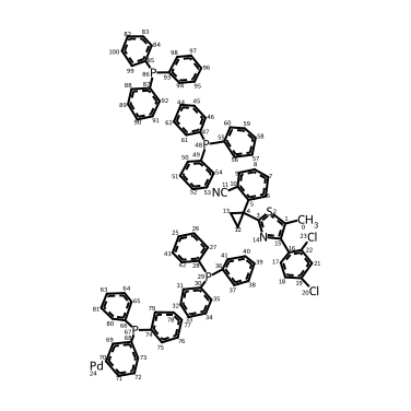 Cc1sc(C2(c3ccccc3C#N)CC2)nc1-c1ccc(Cl)cc1Cl.[Pd].c1ccc(P(c2ccccc2)c2ccccc2)cc1.c1ccc(P(c2ccccc2)c2ccccc2)cc1.c1ccc(P(c2ccccc2)c2ccccc2)cc1.c1ccc(P(c2ccccc2)c2ccccc2)cc1